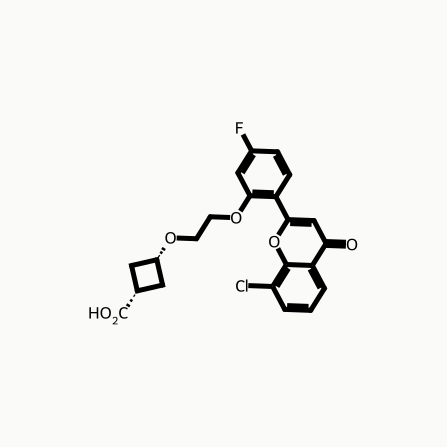 O=c1cc(-c2ccc(F)cc2OCCO[C@H]2C[C@@H](C(=O)O)C2)oc2c(Cl)cccc12